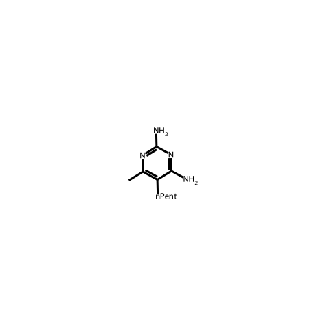 CCCCCc1c(C)nc(N)nc1N